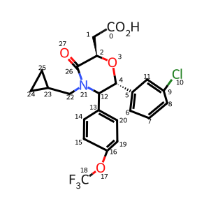 O=C(O)C[C@H]1O[C@H](c2cccc(Cl)c2)C(c2ccc(OC(F)(F)F)cc2)N(CC2CC2)C1=O